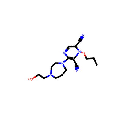 CCCON1C(C#N)=C(N2CCCN(CCO)CC2)N=CC1C#N